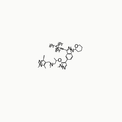 Cc1c(CN(C)CC(C)Oc2c(-c3ccc4c(c3)c(C#C[Si](C(C)C)(C(C)C)C(C)C)nn4C3CCCCO3)cnn2C)c(I)nn1C